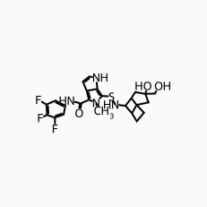 Cn1c(C(=O)Nc2cc(F)c(F)c(F)c2)c2cc[nH]c2c1SNC1C2CCC23CC(O)(CO)CC13